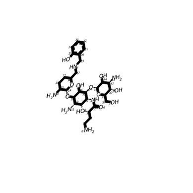 NCC[C@H](O)C(=O)N[C@@H]1C[C@H](N)C(O[C@H]2OC(CNCc3ccccc3O)CCC2N)C(O)[C@H]1O[C@H]1OC(CO)[C@@H](O)[C@H](N)C1O